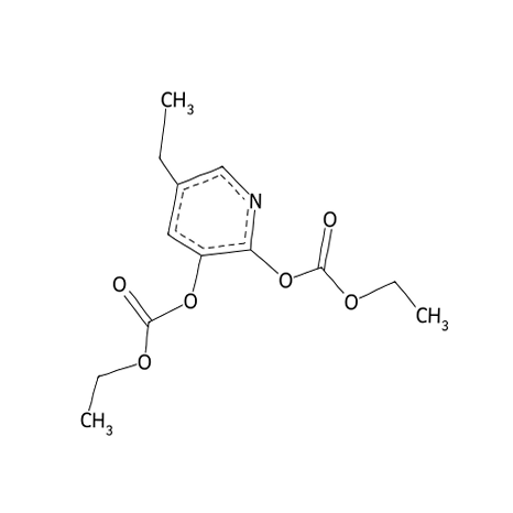 CCOC(=O)Oc1cc(CC)cnc1OC(=O)OCC